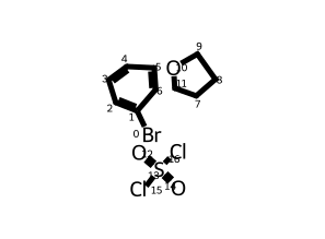 Brc1ccccc1.C1CCOC1.O=S(=O)(Cl)Cl